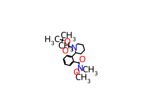 CON(C)C(=O)c1ccccc1C1CCCCN1C(=O)OC(C)(C)C